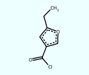 CCc1cc(C(=O)Cl)co1